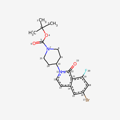 CC(C)(C)OC(=O)N1CCC(n2ccc3cc(Br)cc(F)c3c2=O)CC1